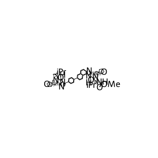 COC(=O)N[C@H](C(=O)N1C[C@@]2(CCOC2)C[C@H]1c1nc2ccc3cc(-c4ccc(-c5cnc([C@@H]6C[C@]7(CCOC7)CN6C(=O)[C@@H](C)C(C)C)[nH]5)cc4)ccc3c2[nH]1)C(C)C